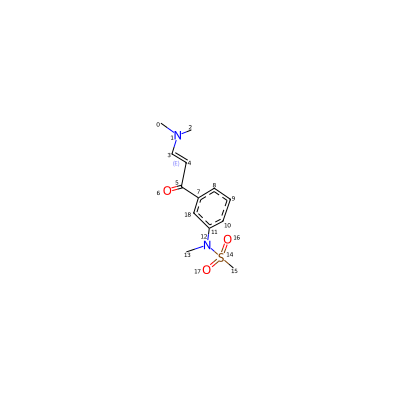 CN(C)/C=C/C(=O)c1cccc(N(C)S(C)(=O)=O)c1